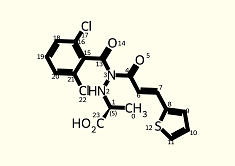 C[C@H](NN(C(=O)C=Cc1cccs1)C(=O)c1c(Cl)cccc1Cl)C(=O)O